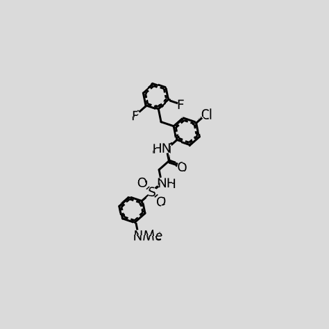 CNc1cccc(S(=O)(=O)NCC(=O)Nc2ccc(Cl)cc2Cc2c(F)cccc2F)c1